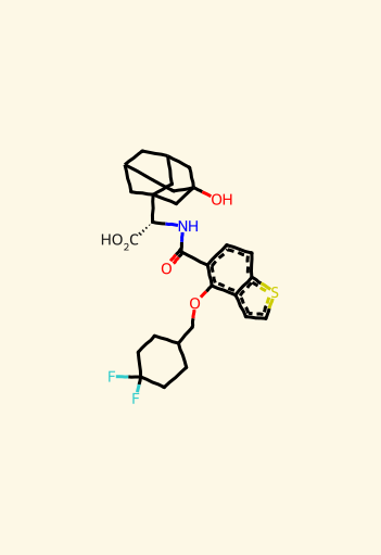 O=C(N[C@H](C(=O)O)C12CC3CC(CC(O)(C3)C1)C2)c1ccc2sccc2c1OCC1CCC(F)(F)CC1